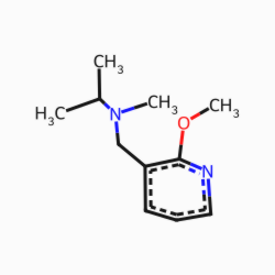 COc1ncccc1CN(C)C(C)C